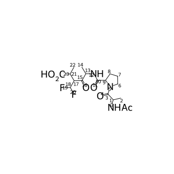 CC(=O)NC(C)C(=O)N1CCCC1C(=O)NC(C)C(=O)C(C(F)F)C(C)C(=O)O